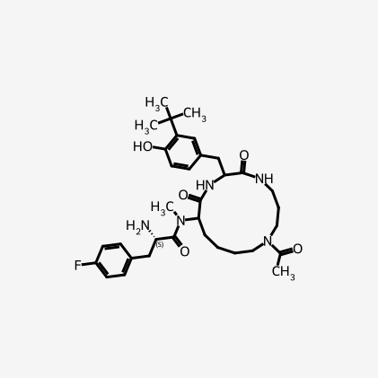 CC(=O)N1CCCCC(N(C)C(=O)[C@@H](N)Cc2ccc(F)cc2)C(=O)NC(Cc2ccc(O)c(C(C)(C)C)c2)C(=O)NCCC1